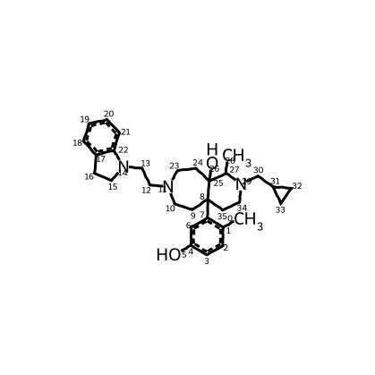 Cc1ccc(O)cc1C12CCN(CCN3CCc4ccccc43)CCC1(O)C(C)N(CC1CC1)CC2